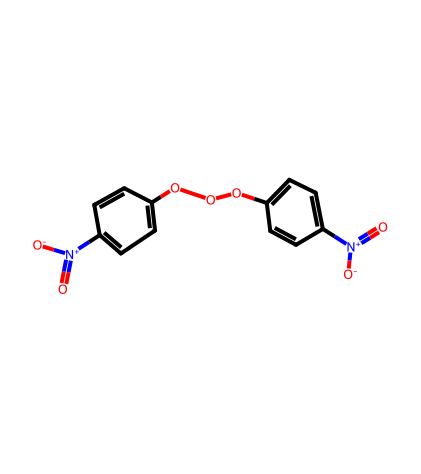 O=[N+]([O-])c1ccc(OOOc2ccc([N+](=O)[O-])cc2)cc1